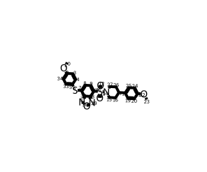 COc1ccc(Sc2ccc(S(=O)(=O)N3CCC(c4ccc(OC)cc4)CC3)c3nonc23)cc1